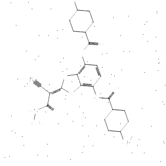 CNC(=O)C(C#N)=C1Sc2c(OC(=O)C3CCC(C)CC3)ccc(OC(=O)C3CCC(C)CC3)c2S1